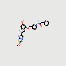 COc1cc(OCc2cccc(NC(=O)CC3CCCCC3)c2)c2cc(-c3cn4nc(OC)sc4n3)oc2c1